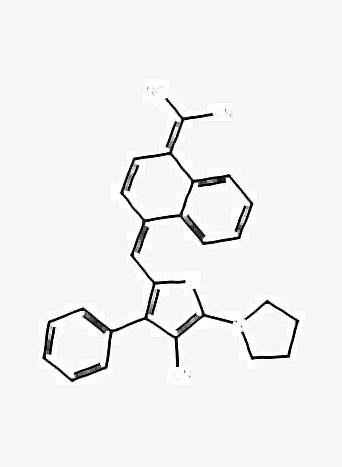 N#CC(C#N)=c1cc/c(=C/c2sc(N3CCCC3)c(C#N)c2-c2ccccc2)c2ccccc12